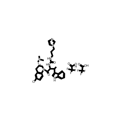 CC(c1c[nH]c2ccccc12)C(NC(=O)NCCCn1ccnc1)C(=O)N1C[C@@H](CN(C)C)Cc2cc(Cl)ccc21.O=C(O)C(F)(F)F.O=C(O)C(F)(F)F